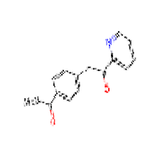 COC(=O)c1ccc(CC(=O)c2ccccn2)cc1